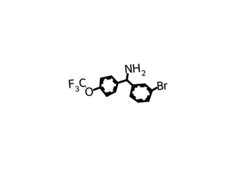 NC(c1ccc(OC(F)(F)F)cc1)c1cccc(Br)c1